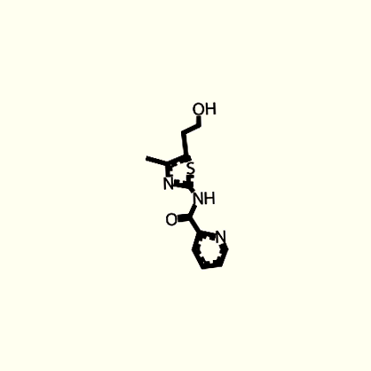 Cc1nc(NC(=O)c2ccccn2)sc1CCO